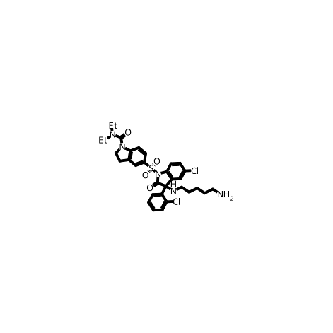 CCN(CC)C(=O)N1CCc2cc(S(=O)(=O)N3C(=O)C(NCCCCCN)(c4ccccc4Cl)c4cc(Cl)ccc43)ccc21